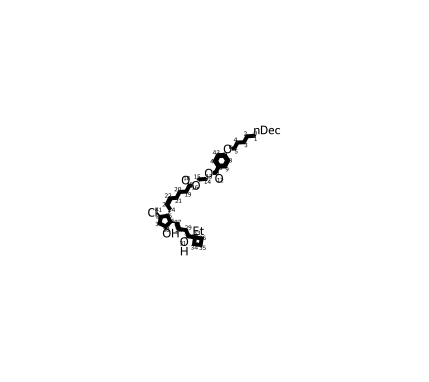 CCCCCCCCCCCCCCCOc1ccc(C(=O)OCCOC(=O)CCC/C=C\C[C@@H]2[C@@H](/C=C/C[C@H](O)C3(CC)CCC3)[C@H](O)C[C@H]2Cl)cc1